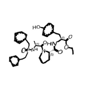 CCOC(=O)[C@H](Cc1ccc(O)cc1)NC(=O)[C@@H]1CCCN1C(=O)[C@H](C)NP(=O)(Cc1ccccc1)Cc1ccccc1